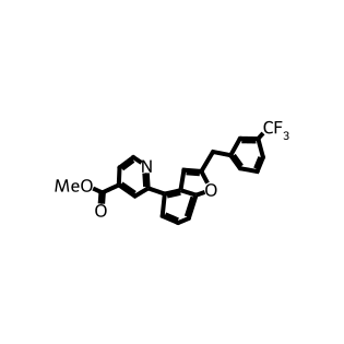 COC(=O)c1ccnc(-c2cccc3oc(Cc4cccc(C(F)(F)F)c4)cc23)c1